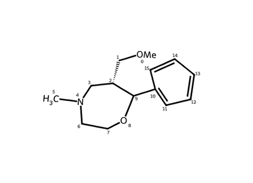 COC[C@H]1CN(C)CCOC1c1ccccc1